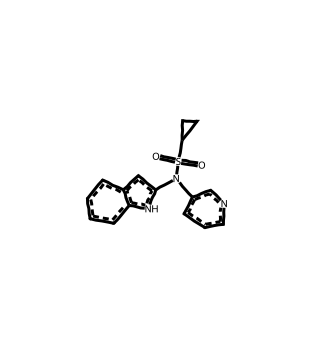 O=S(=O)(C1CC1)N(c1cccnc1)c1cc2ccccc2[nH]1